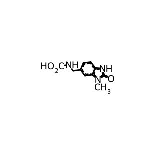 Cn1c(=O)[nH]c2ccc(CNC(=O)O)cc21